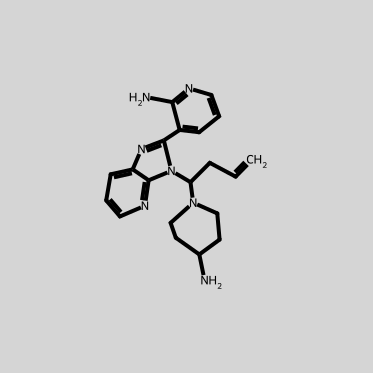 C=CCC(N1CCC(N)CC1)n1c(-c2cccnc2N)nc2cccnc21